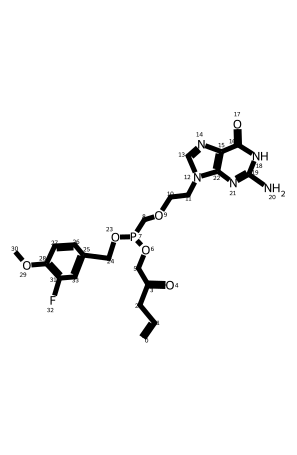 C=CCC(=O)COP(COCCn1cnc2c(=O)[nH]c(N)nc21)OCc1ccc(OC)c(F)c1